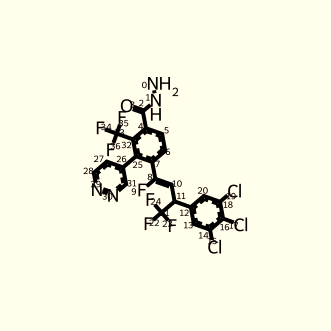 NNC(=O)c1ccc(C(F)=CC(c2cc(Cl)c(Cl)c(Cl)c2)C(F)(F)F)c(-c2ccnnc2)c1C(F)(F)F